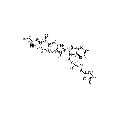 Cc1nnc(CCOc2cccc3cc(-c4nc5cc6c(nc5n4C)CCN(C[C@H](N)CF)C6=O)n(CC4CC4)c23)o1